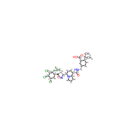 CC1(C)OB(O)c2cc(CNC(=O)c3ccc(C4=NO[C@](c5cc(Cl)c(Cl)c(Cl)c5)(C(F)(F)F)C4)n4cccc34)ccc21